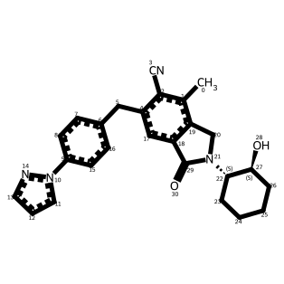 Cc1c(C#N)c(Cc2ccc(-n3cccn3)cc2)cc2c1CN([C@H]1CCCC[C@@H]1O)C2=O